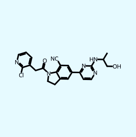 CC(CO)Nc1nccc(-c2cc(C#N)c3c(c2)CCN3C(=O)Cc2cccnc2Cl)n1